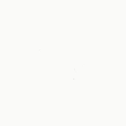 CC(=O)c1cccc(-c2ccc(O)c(C34CC5CC(CC(C5)C3)C4)c2)c1